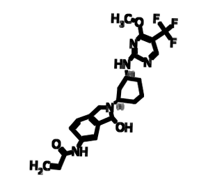 C=CC(=O)Nc1ccc2c(c1)C(O)N([C@H]1CCC[C@@H](Nc3ncc(C(F)(F)F)c(OC)n3)C1)C2